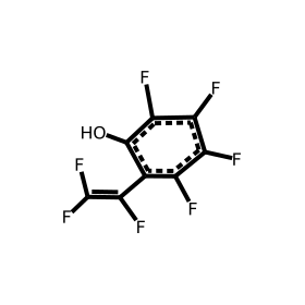 Oc1c(F)c(F)c(F)c(F)c1C(F)=C(F)F